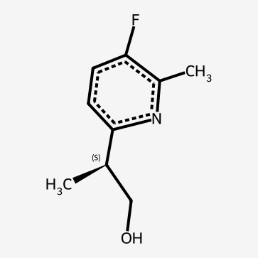 Cc1nc([C@H](C)CO)ccc1F